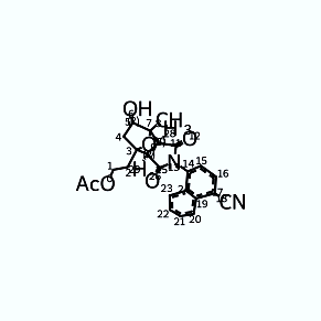 CC(=O)OCCC12C[C@@H](O)C(C)(O1)[C@H]1C(=O)N(c3ccc(C#N)c4ccccc34)C(=O)[C@H]12